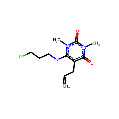 C=CCc1c(NCCCCl)n(C)c(=O)n(C)c1=O